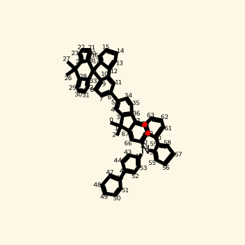 CC1(C)c2cc(-c3ccc4c(c3)-c3ccccc3C43c4ccccc4C(C)(C)c4ccccc43)ccc2-c2ccc(N(c3ccc(-c4ccccc4)cc3)c3ccccc3-c3ccccc3)cc21